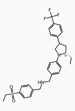 CC[C@H]1CC(c2ccc(C(F)(F)F)cc2)CN1c1ccc(CNCc2ccc(S(=O)(=O)CC)cc2)cc1